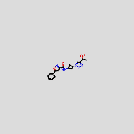 C[C@H](O)c1cn([C@H]2C[C@H](NC(=O)c3cc(-c4ccccc4)on3)C2)nn1